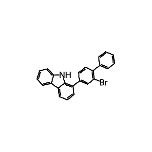 Brc1cc(-c2cccc3c2[nH]c2ccccc23)ccc1-c1ccccc1